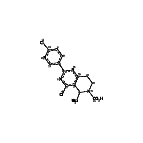 CC(C)(C)C1c2c(Cl)nc(-c3ccc(Cl)nc3)nc2CCN1C(=O)O